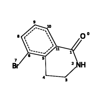 O=C1NCCc2c(Br)cccc21